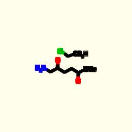 COC(=O)CCC(=O)CN.O=C(O)CCl